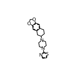 c1csc(N2CCN(C3CCc4cc5c(cc4C3)OCO5)CC2)n1